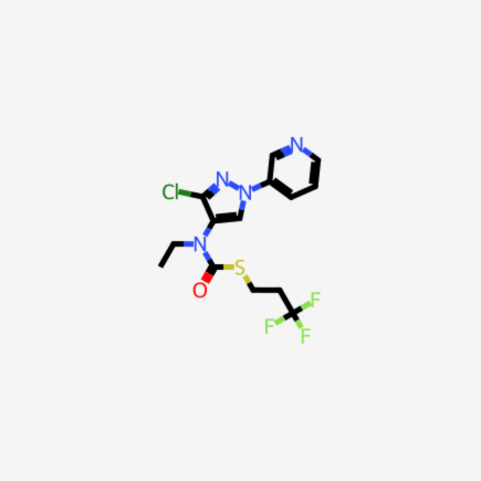 CCN(C(=O)SCCC(F)(F)F)c1cn(-c2cccnc2)nc1Cl